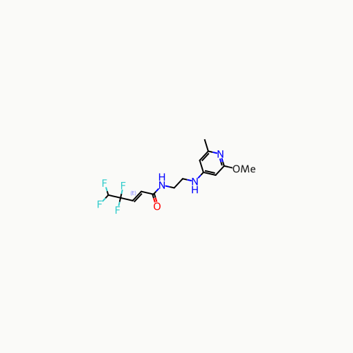 COc1cc(NCCNC(=O)/C=C/C(F)(F)C(F)F)cc(C)n1